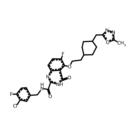 Cc1nnc(CC2CCC(CCOc3c(F)ccc4nc(C(=O)NCc5ccc(F)c(Cl)c5)[nH]c(=O)c34)CC2)o1